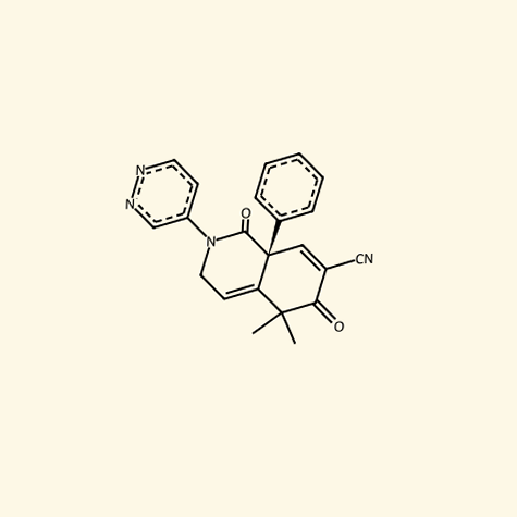 CC1(C)C(=O)C(C#N)=C[C@@]2(c3ccccc3)C(=O)N(c3ccnnc3)CC=C12